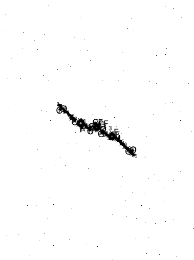 C=CC(=O)OCCCCCCOc1ccc(CCC(=O)Oc2ccc(OC(=O)CCc3ccc(OCCCCCCOC(=O)C=C)c(F)c3)c(C(F)(F)F)c2C(F)(F)F)c(F)c1